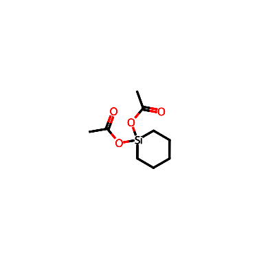 CC(=O)O[Si]1(OC(C)=O)CCCCC1